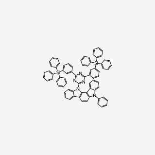 c1ccc(-n2c3ccccc3c3c2ccc2c4ccccc4n(-c4nc(-c5cccc([Si](c6ccccc6)(c6ccccc6)c6ccccc6)c5)nc(-c5cccc([Si](c6ccccc6)(c6ccccc6)c6ccccc6)c5)n4)c23)cc1